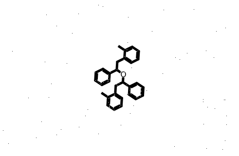 Cc1ccccc1CC(OC(Cc1ccccc1C)c1ccccc1)c1ccccc1